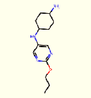 CCCOc1ncc(NC2CCC(N)CC2)cn1